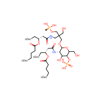 C=P(O)(O)OCC(CO)(CNC(=O)C[C@@H](CCCCCCCCCCC)OC(=O)CCCCCCCCCCCCC)COC1OC(CO)[C@@H](OP(=O)(O)O)C(O)[C@@H]1NC(=O)C[C@@H](CCCCCCCCCCC)OC(=O)CCCCCCCCCCCCC